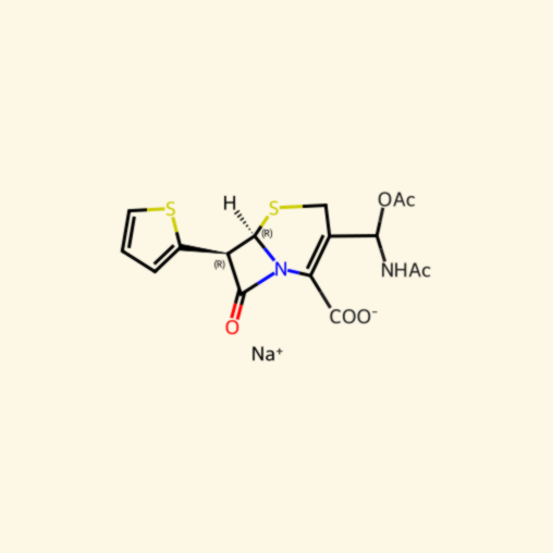 CC(=O)NC(OC(C)=O)C1=C(C(=O)[O-])N2C(=O)[C@@H](c3cccs3)[C@H]2SC1.[Na+]